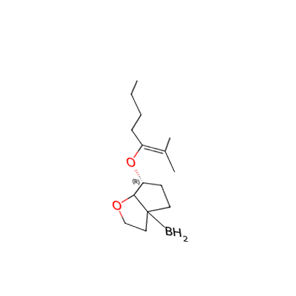 BC12CCOC1[C@H](OC(CCCC)=C(C)C)CC2